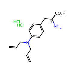 C=CCN(CC=C)c1ccc(C[C@H](N)C(=O)O)cc1.Cl.Cl